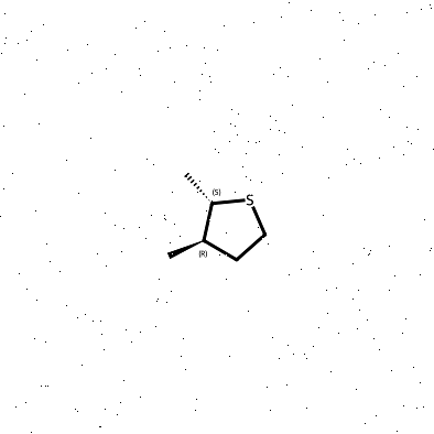 C[C@@H]1CCS[C@H]1C